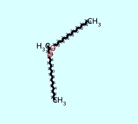 CCCCCCCCCCCCCCCCO[CH]C(C)OCCCCCCCCCCCCCCCC